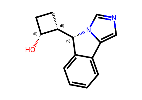 O[C@@H]1CC[C@@H]1[C@H]1c2ccccc2-c2cncn21